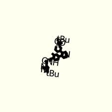 Cc1cc(-c2ccncc2C2CCCN(C(=O)OC(C)(C)C)C2)ccc1CNC(=O)c1cn(C(C)(C)C)nn1